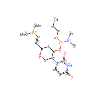 COP(/C=C/C1CC(OP(OCCC#N)N(C(C)C)C(C)C)C(n2ccc(=O)[nH]c2=O)CO1)OC